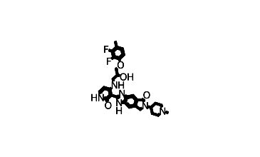 Cc1ccc(OCC(O)CNc2cc[nH]c(=O)c2-c2nc3cc4c(cc3[nH]2)CN(C2CCN(C)CC2)C4=O)c(F)c1F